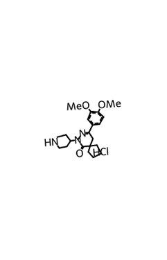 COc1ccc(C2=NN(C3CCNCC3)C(=O)C3(CCCC3)C2)cc1OC.Cl